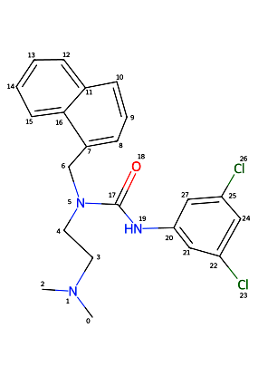 CN(C)CCN(Cc1cccc2ccccc12)C(=O)Nc1cc(Cl)cc(Cl)c1